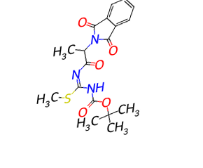 CS/C(=N/C(=O)C(C)N1C(=O)c2ccccc2C1=O)NC(=O)OC(C)(C)C